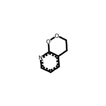 c1cnc2c(c1)CCOO2